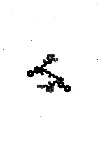 C=c1\c(=C/C=C/C(C)=C/C=C/C2=[N+](CCC(=O)NC(CC(=O)O)C(=O)O)c3ccc(-c4ccccc4)cc3C2(C)C)n(CCC(=O)NC(CC(=O)O)C(=O)O)c2ccc(-c3ccccc3)cc12